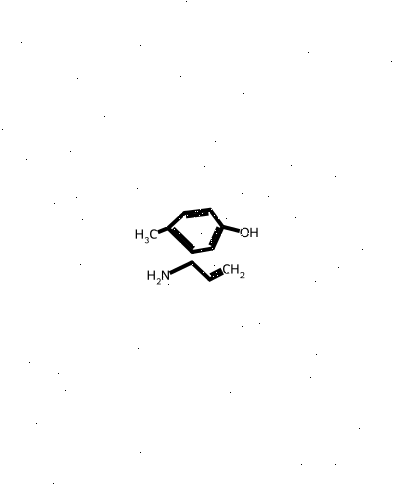 C=CCN.Cc1ccc(O)cc1